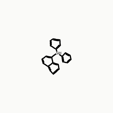 c1ccc([SiH](c2ccccc2)c2cccc3ccccc23)cc1